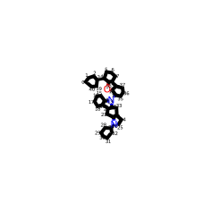 c1ccc(-c2cccc3c2oc2c(-n4c5ccccc5c5cc6c(ccn6-c6ccccc6)cc54)cccc23)cc1